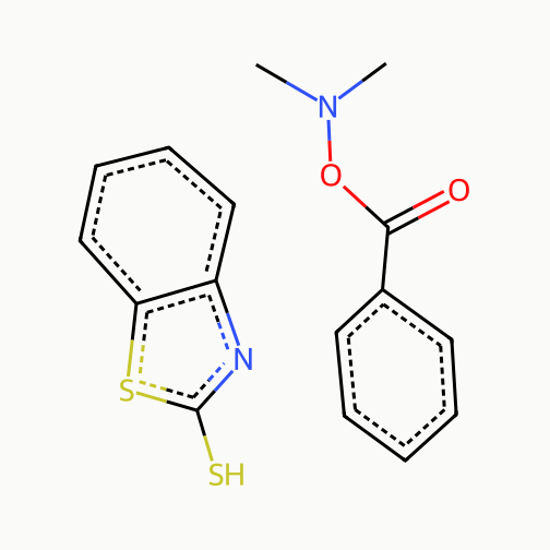 CN(C)OC(=O)c1ccccc1.Sc1nc2ccccc2s1